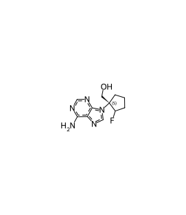 Nc1ncnc2c1ncn2[C@]1(CO)CCCC1F